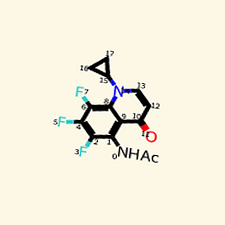 CC(=O)Nc1c(F)c(F)c(F)c2c1c(=O)ccn2C1CC1